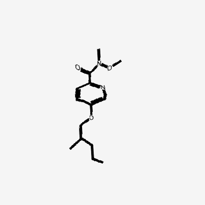 CCCC(C)COc1ccc(C(=O)N(C)OC)nc1